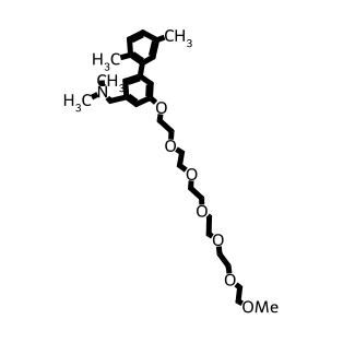 COCCOCCOCCOCCOCCOCCOc1cc(CN(C)C)cc(-c2cc(C)ccc2C)c1